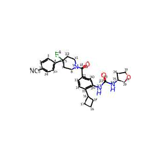 N#Cc1ccc(C2(F)CCN(C(=O)c3ccc(C4CCC4)c(NC(=O)N[C@H]4CCOC4)c3)CC2)cc1